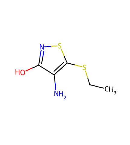 CCSc1snc(O)c1N